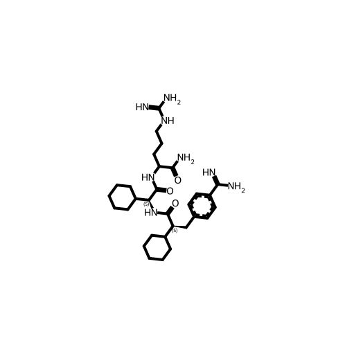 N=C(N)NCCCC(NC(=O)[C@@H](NC(=O)[C@@H](Cc1ccc(C(=N)N)cc1)C1CCCCC1)C1CCCCC1)C(N)=O